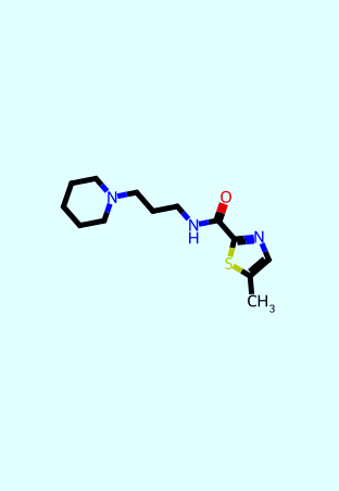 Cc1cnc(C(=O)NCCCN2CCCCC2)s1